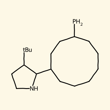 CC(C)(C)C1CCNC1C1CCCCCCC(P)CC1